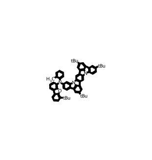 Cc1ccccc1N(c1ccc2c3cc(C(C)(C)C)cc4c5cc6c(cc5n(c2c1)c34)c1cc(C(C)(C)C)cc2c3cc(C(C)(C)C)ccc3n6c21)c1cccc2c1oc1c(C(C)(C)C)cccc12